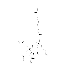 C=CC(=O)OCCCCCC(=O)OCC(COCC(COC(=O)C=C)(COC(=O)C=C)COC(=O)CC)(COC(=O)C=C)COC(=O)CC